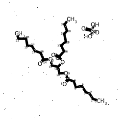 CCCCCCCC(=O)OCC(COC(=O)CCCCCCC)OC(=O)CCCCCCC.O=S(=O)(O)O